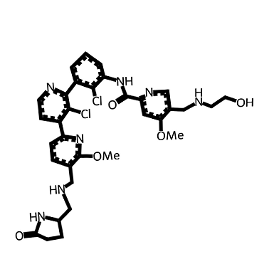 COc1cc(C(=O)Nc2cccc(-c3nccc(-c4ccc(CNCC5CCC(=O)N5)c(OC)n4)c3Cl)c2Cl)ncc1CNCCO